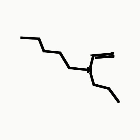 CCCCCN([C]=S)CCC